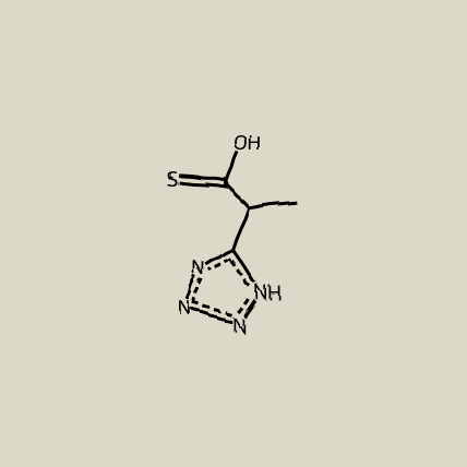 CC(C(O)=S)c1nnn[nH]1